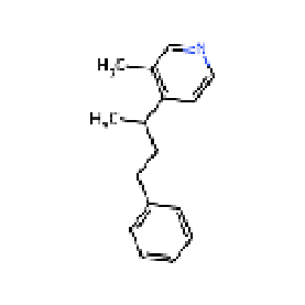 Cc1cnccc1C(C)CCc1ccccc1